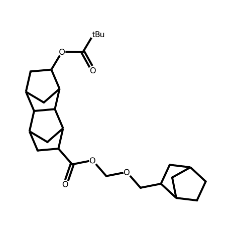 CC(C)(C)C(=O)OC1CC2CC1C1C3CC(CC3C(=O)OCOCC3CC4CCC3C4)C21